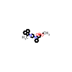 CCOC(=O)CC1C(=O)N(C2CCN(C3c4cccc5cccc(c45)[C@H]3C)CC2)c2ccccc21